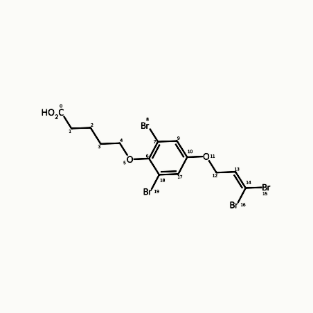 O=C(O)CCCCOc1c(Br)cc(OCC=C(Br)Br)cc1Br